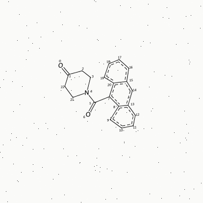 O=C1CCN(C(=O)c2c3ccccc3cc3ccccc23)CC1